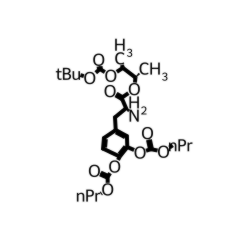 CCCOC(=O)Oc1ccc(C[C@H](N)C(=O)O[C@@H](C)C(C)OC(=O)OC(C)(C)C)cc1OC(=O)OCCC